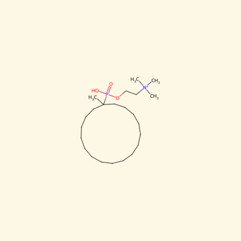 CC1(P(=O)(O)OCC[N+](C)(C)C)CCCCCCCCCCCCCCCC1